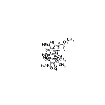 CCOc1ccc(/C=C2\c3cccc(O)c3C(=O)C3=C(O)[C@]4(O)C(=O)C(C(N)=O)=C(O)[C@@H](N(C)C)[C@H]4[C@@H](O)[C@@H]32)cc1